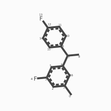 Cc1cc(F)cc(C(C)c2ccc(F)cc2)c1